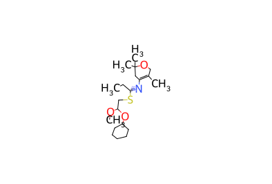 CC/C(=N\C1=C(C)COC(C)(C)C1)SCC(OC)OC1CCCCC1